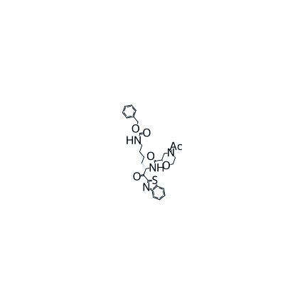 CC(=O)N1CCOC(C(=O)N[C@@H](CCCCNC(=O)OCc2ccccc2)C(=O)c2nc3ccccc3s2)C1